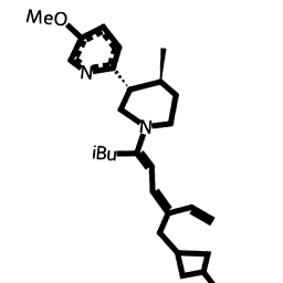 C=C/C(=C\C=C(/C(C)CC)N1CC[C@H](C)[C@@H](c2ccc(OC)cn2)C1)CC1CC(C)C1